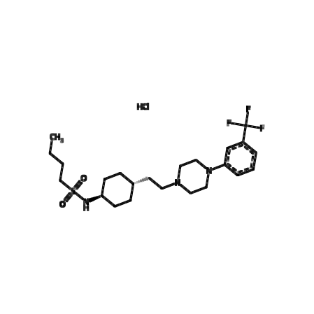 CCCCS(=O)(=O)N[C@H]1CC[C@H](CCN2CCN(c3cccc(C(F)(F)F)c3)CC2)CC1.Cl